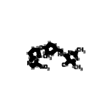 Cc1nc(C)c(Cl)c(NCc2ccc(Oc3ccc4ncc([N+](=O)[O-])n4n3)c(C)c2)n1